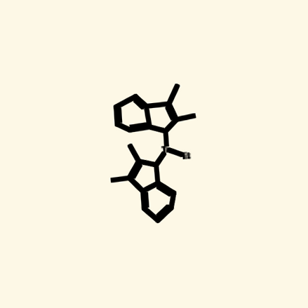 C[CH2][Ti]([CH]1C(C)=C(C)c2ccccc21)[CH]1C(C)=C(C)c2ccccc21